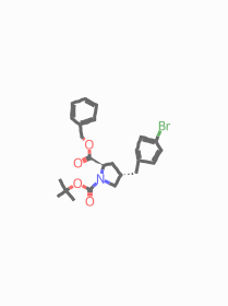 CC(C)(C)OC(=O)N1C[C@@H](Cc2ccc(Br)cc2)C[C@@H]1C(=O)OCc1ccccc1